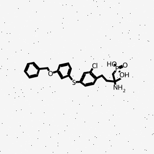 CC(N)(CCc1ccc(Sc2cccc(OCc3ccccc3)c2)cc1Cl)CP(=O)(O)O